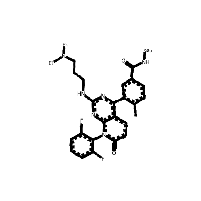 CCCCNC(=O)c1ccc(C)c(-c2nc(NCCCN(CC)CC)nc3c2ccc(=O)n3-c2c(F)cccc2F)c1